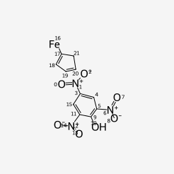 O=[N+]([O-])c1cc([N+](=O)[O-])c(O)c([N+](=O)[O-])c1.[Fe][C]1=CC=CC1